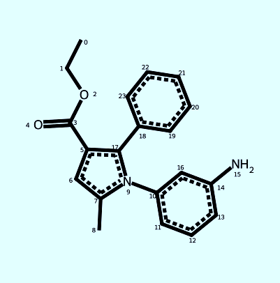 CCOC(=O)c1cc(C)n(-c2cccc(N)c2)c1-c1ccccc1